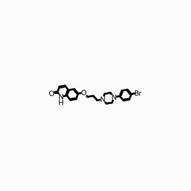 O=c1ccc2cc(OCCCN3CCN(c4ccc(Br)cc4)CC3)ccc2[nH]1